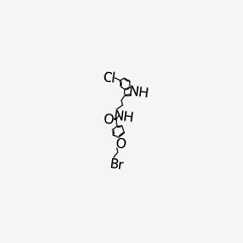 O=C(NCCCc1c[nH]c2ccc(Cl)cc12)c1ccc(OCCCBr)cc1